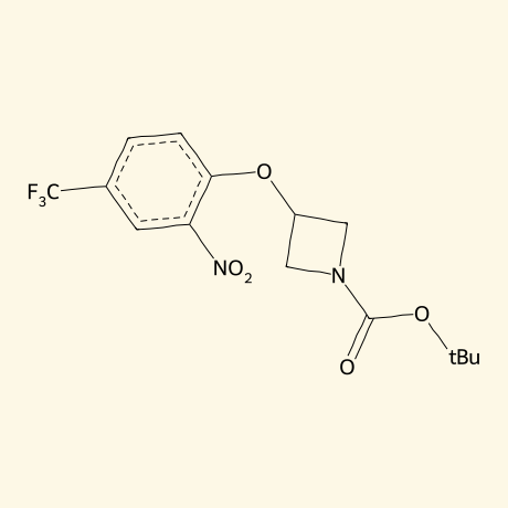 CC(C)(C)OC(=O)N1CC(Oc2ccc(C(F)(F)F)cc2[N+](=O)[O-])C1